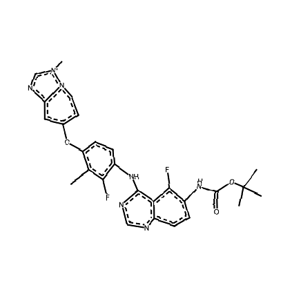 Cc1c(Oc2ccn3c(c2)nc[n+]3C)ccc(Nc2ncnc3ccc(NC(=O)OC(C)(C)C)c(F)c23)c1F